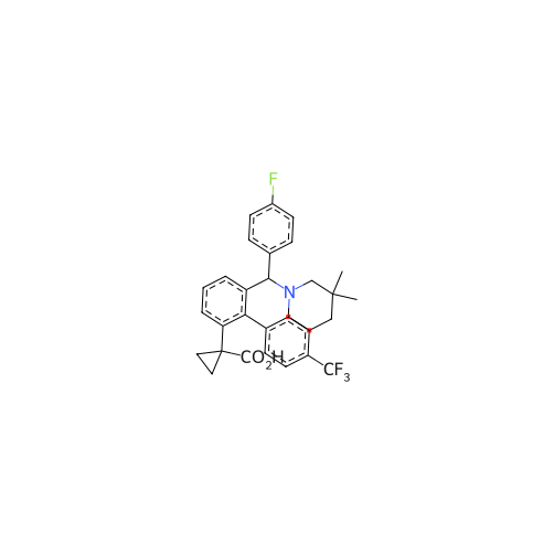 CC1(C)CCCN(C(c2ccc(F)cc2)c2cccc(C3(C(=O)O)CC3)c2-c2ccc(C(F)(F)F)cc2)C1